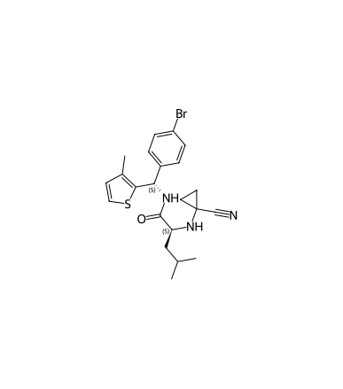 Cc1ccsc1[C@@H](NC(=O)[C@H](CC(C)C)NC1(C#N)CC1)c1ccc(Br)cc1